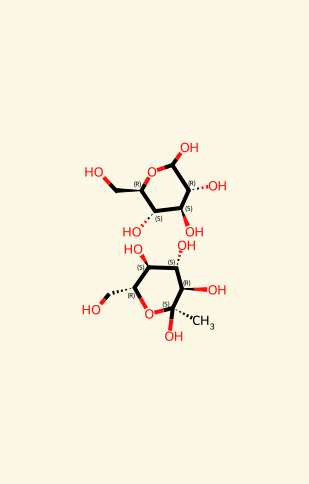 C[C@]1(O)O[C@H](CO)[C@@H](O)[C@H](O)[C@H]1O.OC[C@H]1OC(O)[C@H](O)[C@@H](O)[C@@H]1O